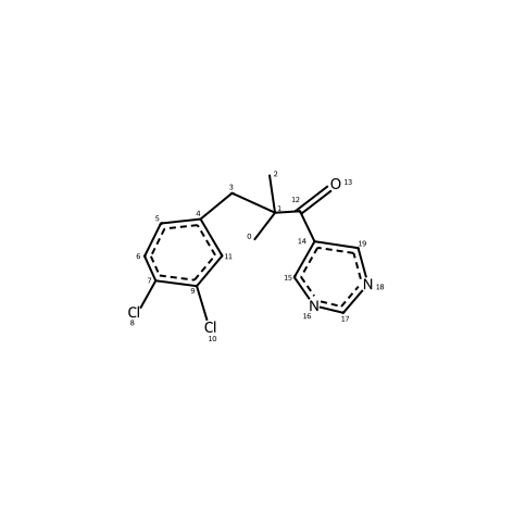 CC(C)(Cc1ccc(Cl)c(Cl)c1)C(=O)c1cncnc1